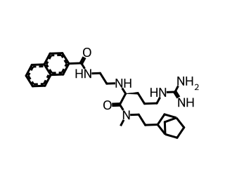 CN(CCC1CC2CCC1C2)C(=O)[C@H](CCCNC(=N)N)NCCNC(=O)c1ccc2ccccc2c1